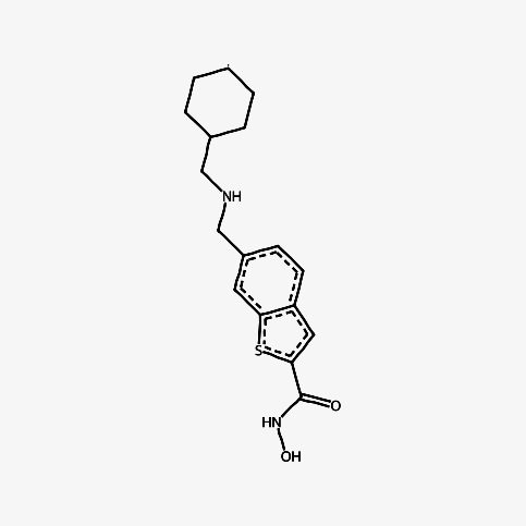 O=C(NO)c1cc2ccc(CNCC3CC[CH]CC3)cc2s1